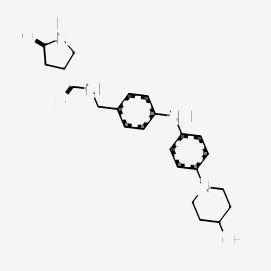 O=C1C[C@@H](C(=O)NCc2ccc(Nc3ccc(N4CCC(C(F)(F)F)CC4)cc3)cc2)CN1